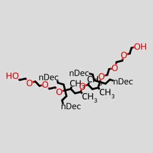 CCCCCCCCCCCCC(CCCCCCCCCCCC)(OCCOCCOCCO)C(C)CC(C)OC(C)CC(C)C(CCCCCCCCCCCC)(CCCCCCCCCCCC)OCCOCCOCCO